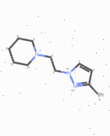 CC(C)c1ccn(CCN2CCCCC2)n1